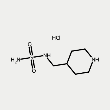 Cl.NS(=O)(=O)NCC1CCNCC1